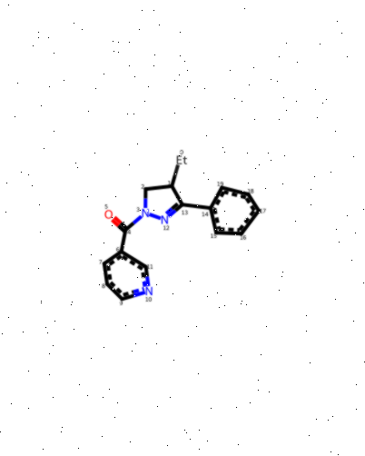 CCC1CN(C(=O)c2cccnc2)N=C1c1ccccc1